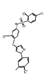 Cc1cc(-n2cc(Oc3ccc(NS(=O)(=O)c4ccc(Cl)cc4Cl)cc3Cl)cn2)ccc1Cl